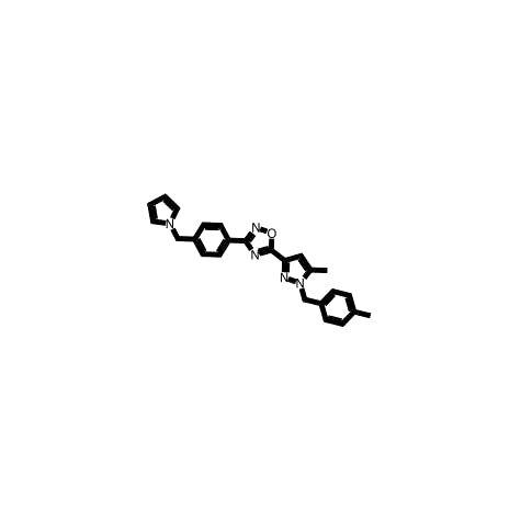 Cc1ccc(Cn2nc(-c3nc(-c4ccc(Cn5cccc5)cc4)no3)cc2C)cc1